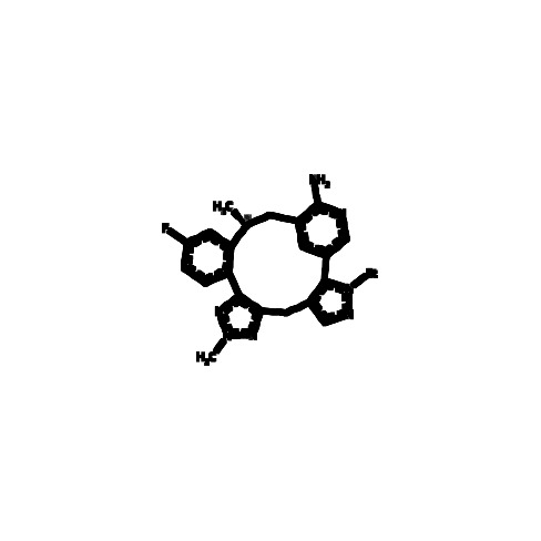 CCn1ncc2c1-c1cnc(N)c(c1)C[C@H](C)c1cc(F)ccc1-c1nn(C)nc1C2